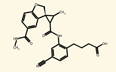 CNC(=O)c1ccc2c(c1)[C@]1(CO2)C(C)C1C(=O)Nc1cc(C#N)ccc1CCCC(=O)O